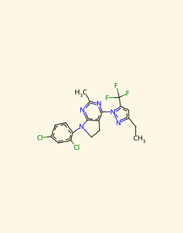 CCc1cc(C(F)(F)F)n(-c2nc(C)nc3c2CCN3c2ccc(Cl)cc2Cl)n1